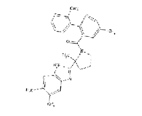 COc1ccccc1-c1ccc(C)cc1C(=O)N1CCCC1(C)c1nc2cc(C)c(C)cc2[nH]1